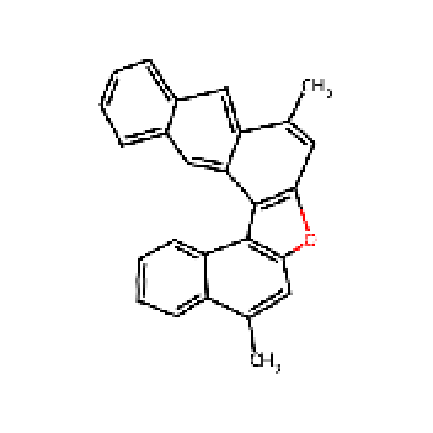 Cc1cc2oc3cc(C)c4cc5ccccc5cc4c3c2c2ccccc12